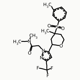 Cc1cccc(S(=O)(=O)C2(C)CCOC(c3cc(C(F)(F)F)nn3CC(=O)N(C)C)C2)c1